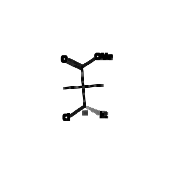 CC[C@H](Cl)C(C)(C)C(=O)OC